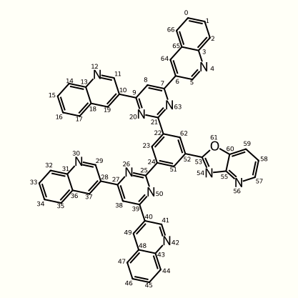 c1ccc2ncc(-c3cc(-c4cnc5ccccc5c4)nc(-c4cc(-c5nc(-c6cnc7ccccc7c6)cc(-c6cnc7ccccc7c6)n5)cc(-c5nc6ncccc6o5)c4)n3)cc2c1